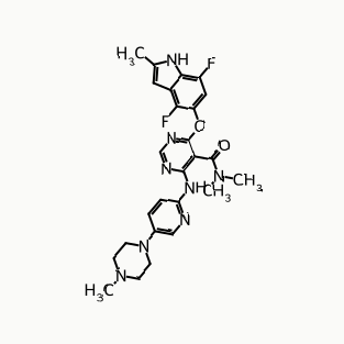 Cc1cc2c(F)c(Oc3ncnc(Nc4ccc(N5CCN(C)CC5)cn4)c3C(=O)N(C)C)cc(F)c2[nH]1